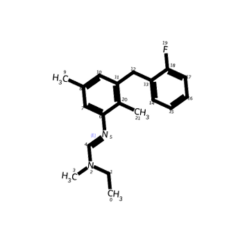 CCN(C)/C=N/c1cc(C)cc(Cc2ccccc2F)c1C